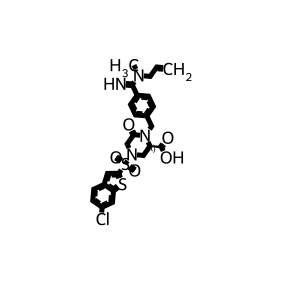 C=CCN(C)C(=N)c1ccc(CN2C(=O)CN(S(=O)(=O)c3cc4ccc(Cl)cc4s3)C[C@@H]2C(=O)O)cc1